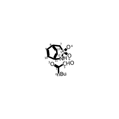 CCCCC(=O)C=O.O=S1(=O)Cc2ccc(cc2)N1